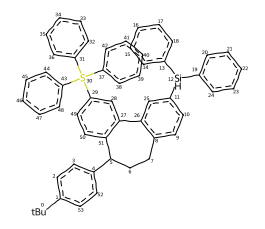 CC(C)(C)c1ccc(C2CCc3ccc([SiH](c4ccccc4)c4ccccc4)cc3-c3cc(S(c4ccccc4)(c4ccccc4)c4ccccc4)ccc32)cc1